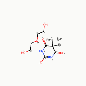 CCCC(C)C1(CC)C(=O)N=C([O-])NC1=O.OCCOCCO.[Na+]